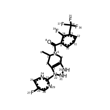 CC1CC2=C(CN1C(=O)c1cccc(C(F)(F)F)c1F)NNN2c1ncc(F)cn1